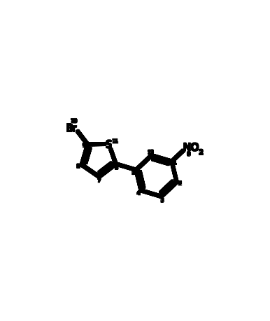 O=[N+]([O-])c1cccc(-c2ccc(Br)s2)c1